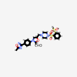 Cc1nc(-c2ccc(N3CC(CN4CCN(S(=O)(=O)c5ccccc5S(C)(=O)=O)CC4)OC3C=O)cc2)no1